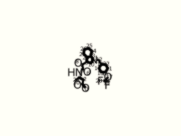 O=C1C=C(NC(=O)C(=O)c2cn(Cc3ccc(OC(F)F)cc3)c3ccccc23)CO1